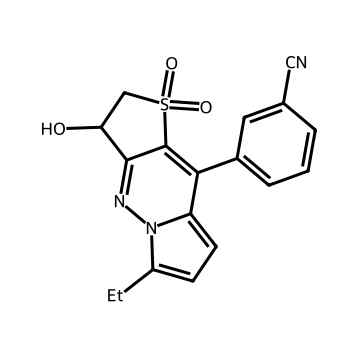 CCc1ccc2c(-c3cccc(C#N)c3)c3c(nn12)C(O)CS3(=O)=O